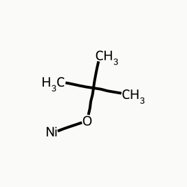 CC(C)(C)[O][Ni]